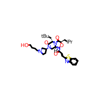 CC(C)C[C@H]1ON(C(=O)/C=C/c2nc3ccccc3s2)[C@H]2CN([C@H]3CCN(CCCCO)C3)C(=O)[C@H](CC(C)(C)C)N2C1=O